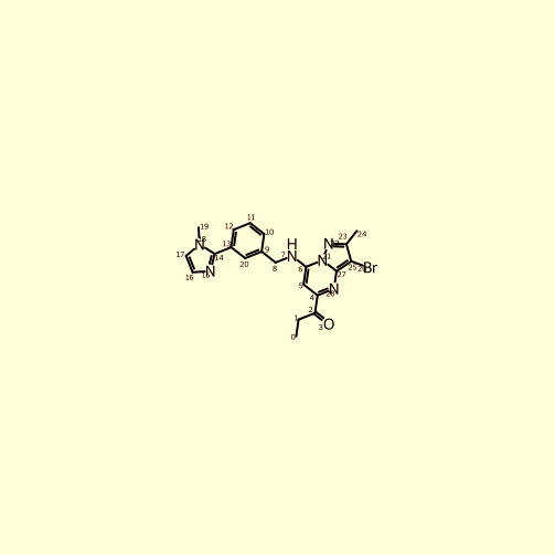 CCC(=O)c1cc(NCc2cccc(-c3nccn3C)c2)n2nc(C)c(Br)c2n1